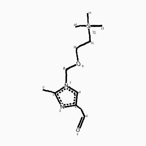 Cc1nc(C=O)cn1COCC[Si](C)(C)C